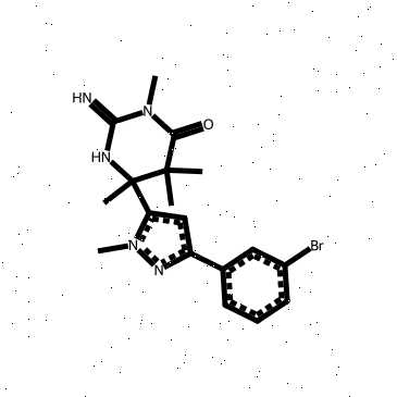 CN1C(=N)NC(C)(c2cc(-c3cccc(Br)c3)nn2C)C(C)(C)C1=O